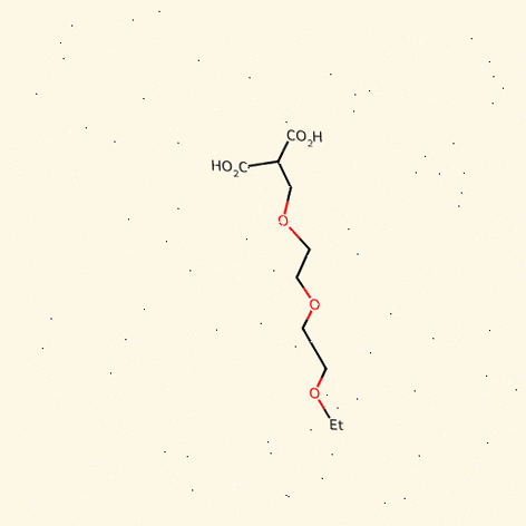 CCOCCOCCOCC(C(=O)O)C(=O)O